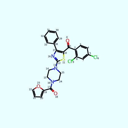 O=C(c1ccc(Cl)cc1Cl)c1sc(N2CCN(C(=O)c3ccco3)CC2)nc1-c1ccccc1